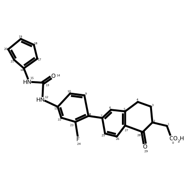 O=C(O)CC1CCc2cc(-c3ccc(NC(=O)Nc4ccccc4)cc3F)ccc2C1=O